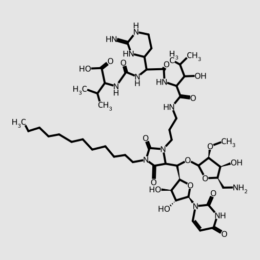 CCCCCCCCCCCCN1C(=O)C(C(OC2O[C@H](CN)[C@H](O)[C@@H]2OC)[C@H]2O[C@@H](n3ccc(=O)[nH]c3=O)[C@H](O)[C@H]2O)N(CCCNC(=O)C(NC(=O)C(NC(=O)NC(C(=O)O)C(C)C)C2CCNC(=N)N2)C(O)C(C)C)C1=O